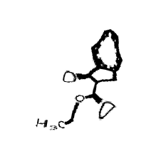 CCOC(=O)C1Cc2ccccc2C1=O